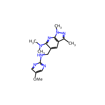 COc1cnc(NCc2cc3c(C)nn(C)c3nc2N(C)C)nc1